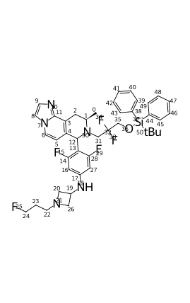 C[C@@H]1Cc2c(ccn3ccnc23)C(c2c(F)cc(NC3CN(CCCF)C3)cc2F)N1CC(F)(F)CO[Si](c1ccccc1)(c1ccccc1)C(C)(C)C